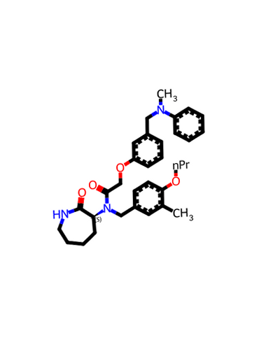 CCCOc1ccc(CN(C(=O)COc2cccc(CN(C)c3ccccc3)c2)[C@H]2CCCCNC2=O)cc1C